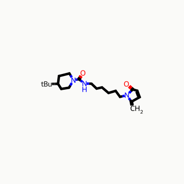 C=C1C=CC(=O)N1CCCCCCNC(=O)N1CCC(C(C)(C)C)CC1